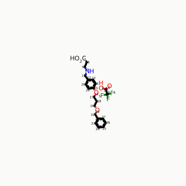 O=C(O)C(F)(F)F.O=C(O)CCNCc1ccc(OCCCOCc2ccccc2)cc1